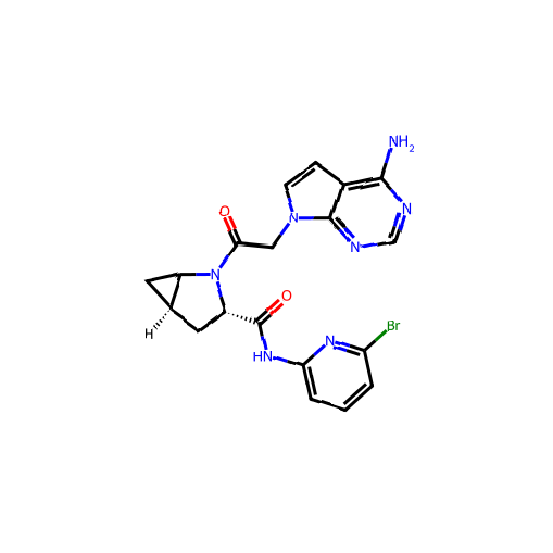 Nc1ncnc2c1ccn2CC(=O)N1C2C[C@@H]2C[C@H]1C(=O)Nc1cccc(Br)n1